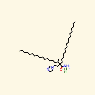 CCCCCCCCCCCCCCCCCC(CCN1C=NCC1)(C(N)=O)C(C)CCCCCCCCCCCCCCC.Cl